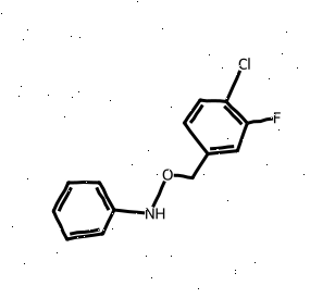 Fc1cc(CONc2ccccc2)ccc1Cl